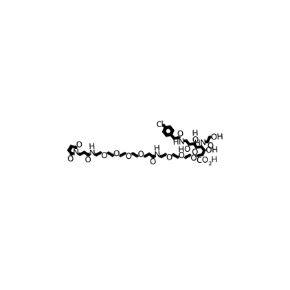 O=C(CCOCCOCCOCCOCCNC(=O)CCN1C(=O)C=CC1=O)NCCOCCOCCO[C@]1(C(=O)O)C[C@H](O)[C@@H](NC(=O)CO)[C@H]([C@H](O)[C@H](O)CNC(=O)Cc2ccc(Cl)cc2)O1